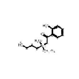 Cc1ccccc1C(=O)C[N+](C)(C)CCCO.[Cl-]